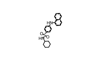 O=S(=O)(NC1CCCCC1)c1ccc(Nc2cccc3ccccc23)cc1